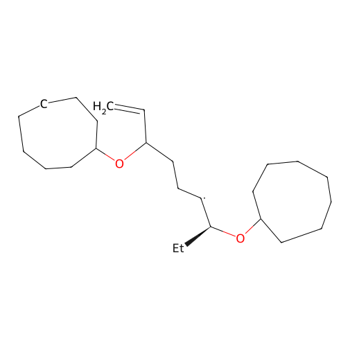 C=CC(CC[CH][C@H](CC)OC1CCCCCCC1)OC1CCCCCCC1